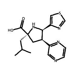 CC(C)C[C@@]1(C(=O)O)C[C@H](c2cnccn2)[C@H](c2cscn2)N1